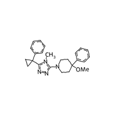 COC1(c2ccccc2)CCN(c2nnc(C3(c4ccccc4)CC3)n2C)CC1